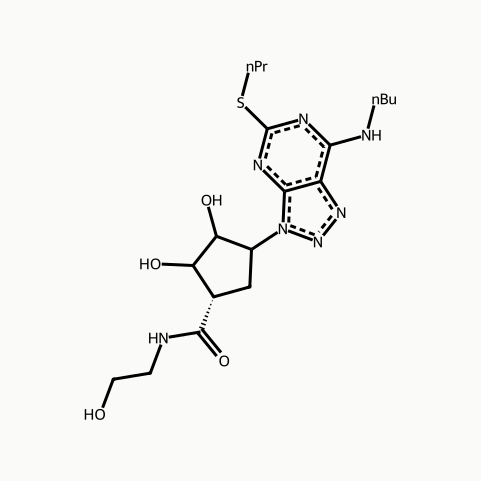 CCCCNc1nc(SCCC)nc2c1nnn2C1C[C@H](C(=O)NCCO)C(O)C1O